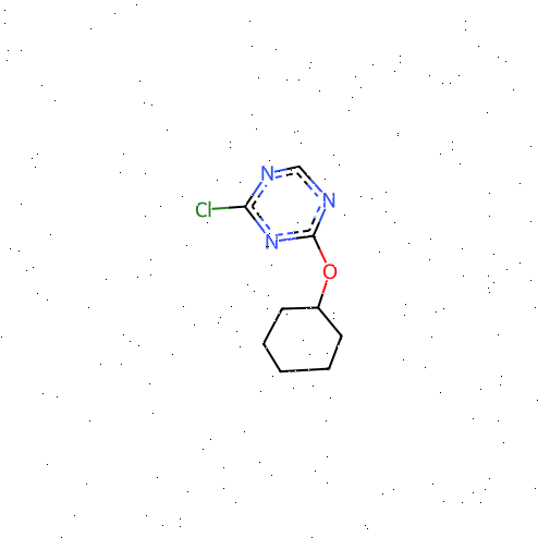 Clc1ncnc(OC2CCCCC2)n1